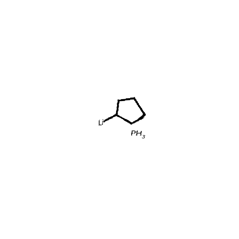 P.[Li][CH]1CCCC1